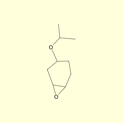 CC(C)OC1CCC2OC2C1